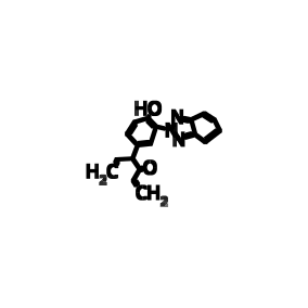 C=CC(=O)C(C=C)c1ccc(O)c(-n2nc3ccccc3n2)c1